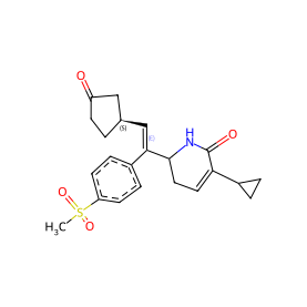 CS(=O)(=O)c1ccc(/C(=C\[C@H]2CCC(=O)C2)C2CC=C(C3CC3)C(=O)N2)cc1